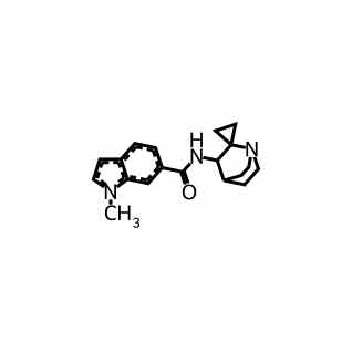 Cn1ccc2ccc(C(=O)NC3C4CCN(CC4)C34CC4)cc21